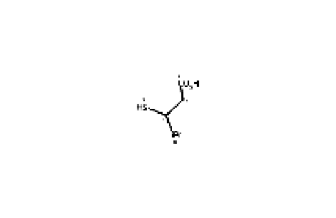 CC(C)C(S)CC(=O)O